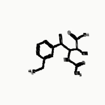 CCc1cccc(C(=O)C(NC(C)=O)C(O)C(=O)O)c1